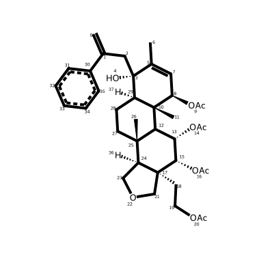 C=C(C[C@@]1(O)C(C)=C[C@@H](OC(C)=O)[C@]2(C)C3[C@H](OC(C)=O)[C@H](OC(C)=O)[C@@]4(CCOC(C)=O)COC[C@H]4[C@]3(C)CC[C@H]21)c1ccccc1